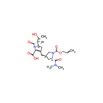 C=CCOC(=O)N1C[C@H](CC2=C(C(=O)O)N3C(=O)[C@H]([C@@H](C)O)[C@H]3C2)C[C@H]1C(=O)N(C)C